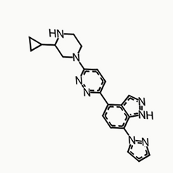 c1cnn(-c2ccc(-c3ccc(N4CCNC(C5CC5)C4)nn3)c3cn[nH]c23)c1